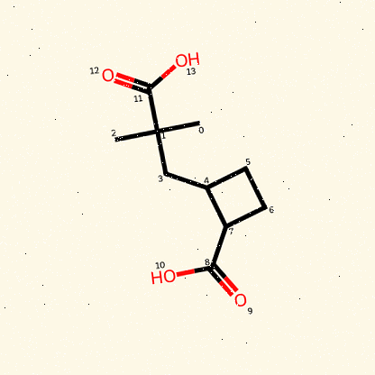 CC(C)(CC1CCC1C(=O)O)C(=O)O